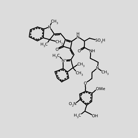 COc1cc(C(C)O)c([N+](=O)[O-])cc1OCCN(C)CCNC(=O)C(CS(=O)(=O)O)NC1=C(/C=C2/N(C)c3ccccc3C2(C)C)C(=O)/C1=C\C1=[N+](C)c2ccccc2C1(C)C